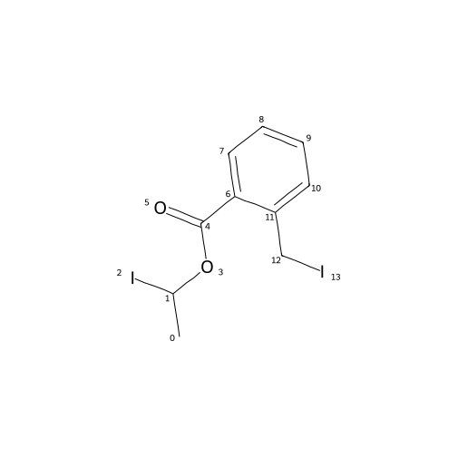 CC(I)OC(=O)c1ccccc1CI